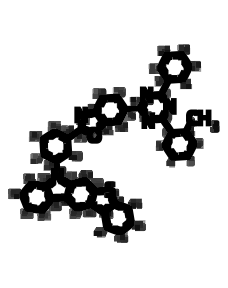 Cc1ccccc1-c1nc(-c2ccccc2)nc(-c2ccc3nc(-c4cccc(-n5c6ccccc6c6cc7c(cc65)sc5ccccc57)c4)oc3c2)n1